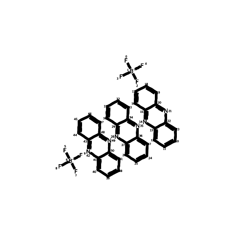 F[B-](F)(F)F.F[B-](F)(F)F.c1ccc2nc3ccccc3nc2c1.c1ccc2nc3ccccc3nc2c1.c1ccc2nc3ccccc3nc2c1